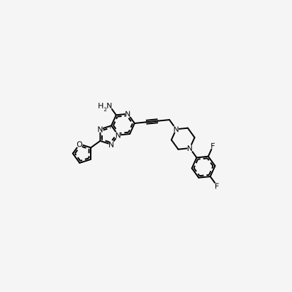 Nc1nc(C#CCN2CCN(c3ccc(F)cc3F)CC2)cn2nc(-c3ccco3)nc12